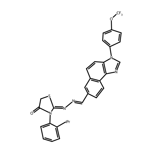 CC(C)c1ccccc1N1C(=O)CSC1=NN=Cc1ccc2c(ccc3c2ncn3-c2ccc(OC(F)(F)F)cc2)c1